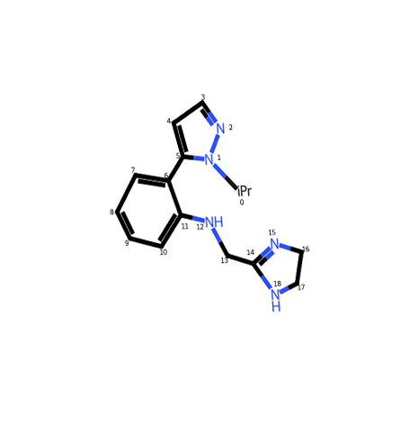 CC(C)n1nccc1-c1ccccc1NCC1=NCCN1